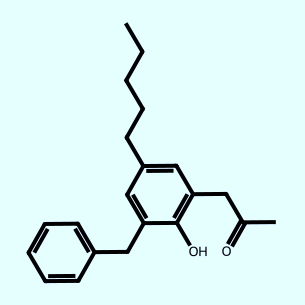 CCCCCc1cc(CC(C)=O)c(O)c(Cc2ccccc2)c1